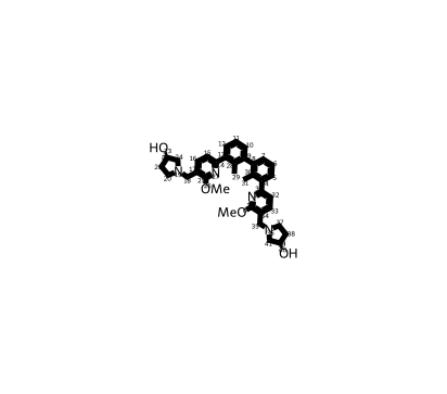 COc1nc(-c2cccc(-c3cccc(-c4ccc(CN5CC[C@@H](O)C5)c(OC)n4)c3C)c2C)ccc1CN1CC[C@@H](O)C1